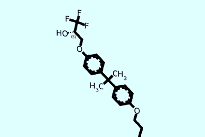 CC(C)(c1ccc(OCCCCl)cc1)c1ccc(OC[C@H](O)C(F)(F)F)cc1